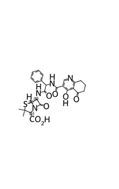 CC1(C)S[C@@H]2[C@H](NC(=O)C(NC(=O)c3cnc4c(c3O)C(=O)CCC4)c3ccccc3)C(=O)N2[C@H]1C(=O)O